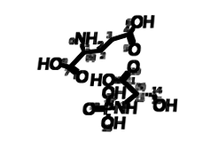 N[C@@H](CCC(=O)O)C(=O)O.O=C(O)[C@H](CO)NP(=O)(O)O